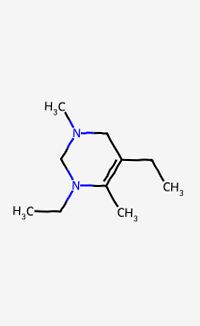 CCC1=C(C)N(CC)CN(C)C1